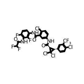 O=C(Nc1ccc(F)c(NC(=O)C(F)F)c1F)c1cc(NC(=O)[C@H]2[C@H](c3ccc(Cl)c(C(F)(F)F)c3)C2(Cl)Cl)ccc1Cl